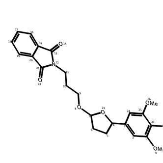 COc1cc(C2CCC(OCCCN3C(=O)c4ccccc4C3=O)O2)cc(OC)c1OC